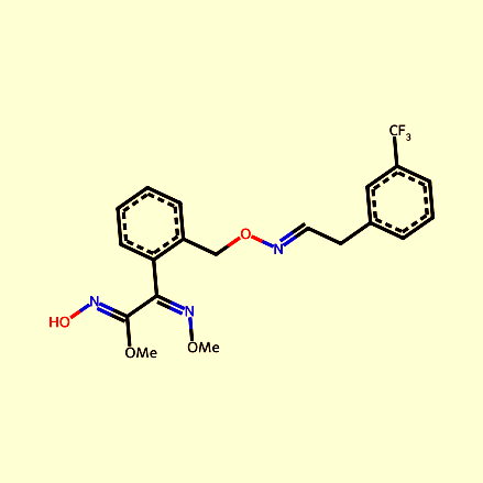 CON=C(C(=NO)OC)c1ccccc1CON=CCc1cccc(C(F)(F)F)c1